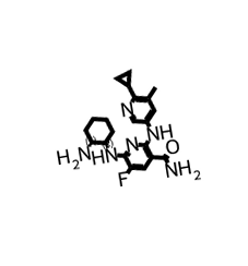 Cc1cc(Nc2nc(N[C@@H]3CCCC[C@@H]3N)c(F)cc2C(N)=O)cnc1C1CC1